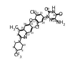 Cc1cc(C2CCC(C(F)(F)F)CC2)nc2ccc(Oc3c(Cl)cc(-n4nc(N)c(=O)[nH]c4=O)cc3Cl)cc12